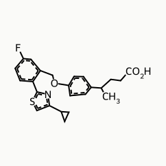 CC(CCC(=O)O)c1ccc(OCc2cc(F)ccc2-c2nc(C3CC3)cs2)cc1